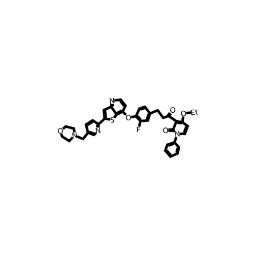 CCOc1ccn(-c2ccccc2)c(=O)c1C(=O)CCc1ccc(Oc2ccnc3cc(-c4ccc(CN5CCOCC5)cn4)sc23)c(F)c1